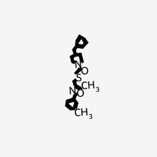 Cc1cccc(-c2nc(CSCC(=O)N3CCC(Cc4ccccc4)CC3)c(C)o2)c1